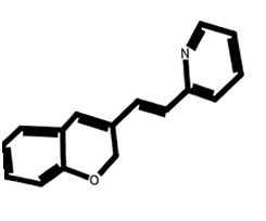 C(=Cc1ccccn1)C1=Cc2ccccc2OC1